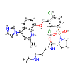 CNCCCNC(=O)[C@@H]1CCCN1S(=O)(=O)c1ccc(Cl)c(COc2cccc3c(-n4ccnc4)cc(C)nc23)c1Cl